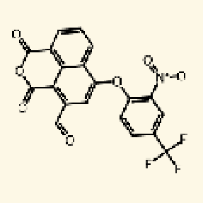 O=Cc1cc(Oc2ccc(C(F)(F)F)cc2[N+](=O)[O-])c2cccc3c2c1C(=O)OC3=O